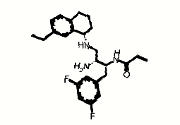 CCC(=O)N[C@@H](Cc1cc(F)cc(F)c1)[C@H](N)CN[C@H]1CCCc2ccc(CC)cc21